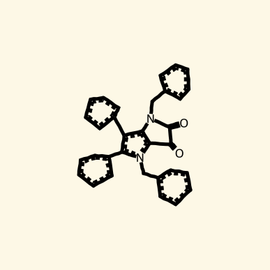 O=C1C(=O)N(Cc2ccccc2)c2c(-c3ccccc3)c(-c3ccccc3)n(Cc3ccccc3)c21